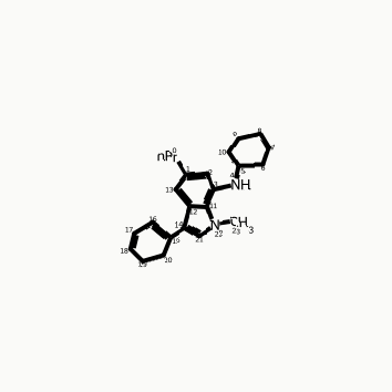 CCCc1cc(NC2CCCCC2)c2c(c1)c(C1=CC=CCC1)cn2C